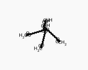 C=CC(=O)OCCCCCCCCCCCOc1cc(C(=O)NCCS(=O)(=O)O)cc(OCCCCCCCCCCCOC(=O)C=C)c1OCCCCCCCCCCCOC(=O)C=C.[LiH]